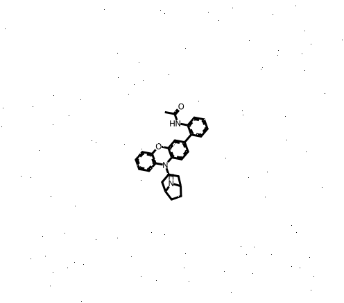 CC(=O)Nc1ccccc1-c1ccc2c(c1)Oc1ccccc1N2C1CC2CCC(C1)N2